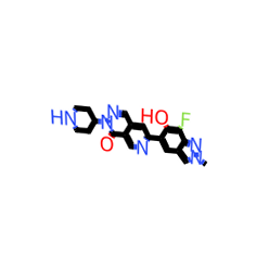 Cn1cc2cc(-c3cc4cnn(C5CCNCC5)c(=O)c4cn3)c(O)c(F)c2n1